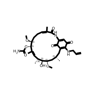 C=CCNC1=C2C[C@H](C)C[C@H](OC)[C@@H](O)[C@H](C)C=C(C)[C@H](OC(N)=O)[C@@H](OC)CCC=C(C)C(=O)NC(=CC1=O)C2=O